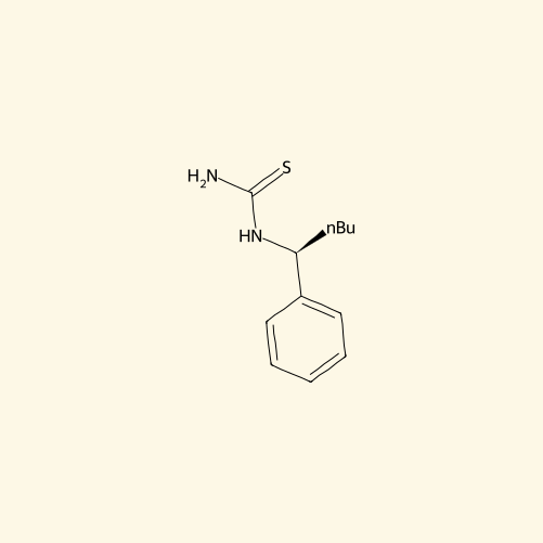 CCCC[C@H](NC(N)=S)c1ccccc1